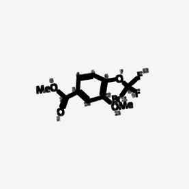 COC(=O)c1ccc(OC(F)(F)Br)c(OC)c1